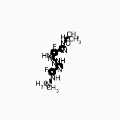 CC(C)CC(=O)Nc1cncc(-c2cc3c(-c4nc5c(-c6cc(F)cc(NCCN(C)C)c6)nccc5[nH]4)n[nH]c3cc2F)c1